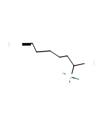 C=CCCCCC(C)[Si](Cl)(Cl)Cl